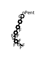 CCCCCC1CCC(c2ccc(-c3ccc(-c4ccc(C(F)(F)Oc5cc(F)c(OC=C(F)F)c(F)c5)c(F)c4)c(F)c3)cc2)OC1